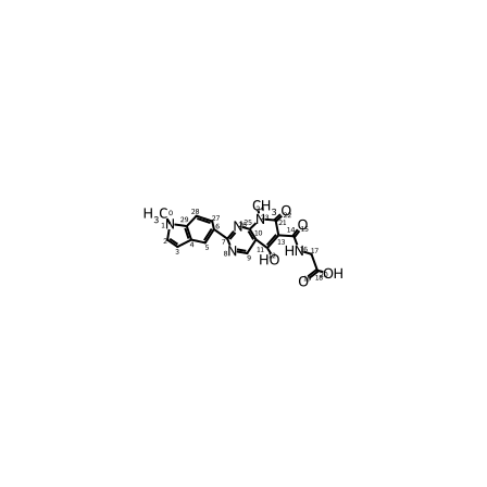 Cn1ccc2cc(-c3ncc4c(O)c(C(=O)NCC(=O)O)c(=O)n(C)c4n3)ccc21